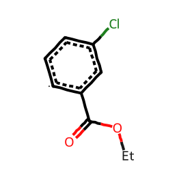 CCOC(=O)c1[c]ccc(Cl)c1